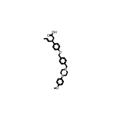 CC=CC(CC(=O)O)c1ccc(OCc2ccc(CN3CCN(c4ccc(OC)cc4)CC3)cc2)cc1